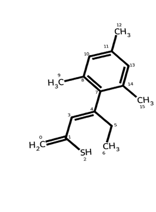 C=C(S)/C=C(\CC)c1c(C)cc(C)cc1C